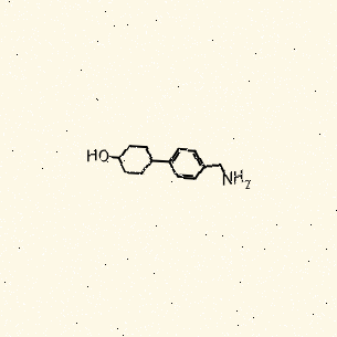 NCc1ccc(C2CCC(O)CC2)cc1